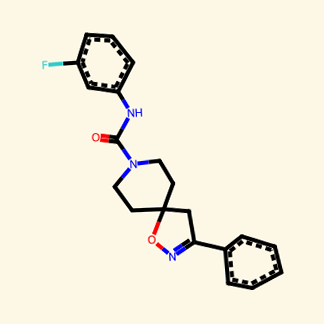 O=C(Nc1cccc(F)c1)N1CCC2(CC1)CC(c1ccccc1)=NO2